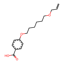 C=CCOCCCCCCOc1ccc(C(=O)O)cc1